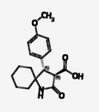 COc1ccc([C@@H]2[C@@H](C(=O)O)C(=O)NC23CCCCC3)cc1